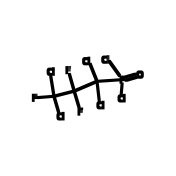 O=P(Cl)(Cl)C(Cl)(Cl)C(F)(F)C(F)(Cl)Cl